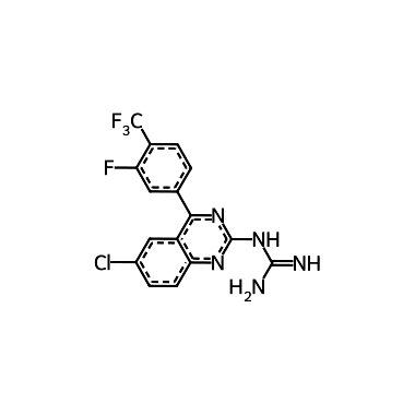 N=C(N)Nc1nc(-c2ccc(C(F)(F)F)c(F)c2)c2cc(Cl)ccc2n1